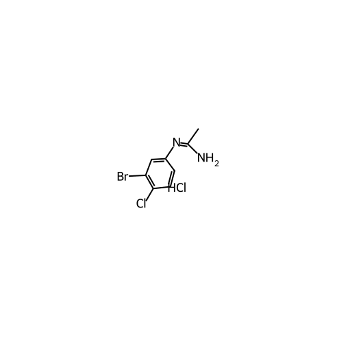 CC(N)=Nc1ccc(Cl)c(Br)c1.Cl